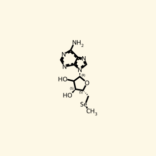 C[Se]C[C@H]1O[C@@H](n2cnc3c(N)ncnc32)C(O)[C@@H]1O